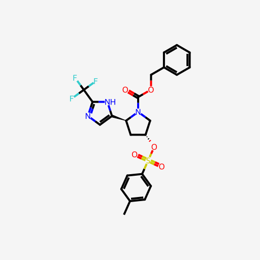 Cc1ccc(S(=O)(=O)O[C@@H]2C[C@@H](c3cnc(C(F)(F)F)[nH]3)N(C(=O)OCc3ccccc3)C2)cc1